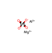 [Al+3].[Mg+2].[O]=[Mn](=[O])([O-])[O-]